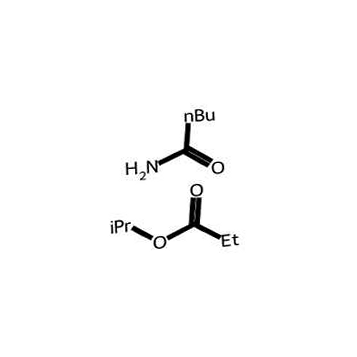 CCC(=O)OC(C)C.CCCCC(N)=O